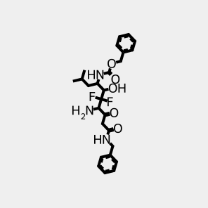 CC(C)CC(NC(=O)OCc1ccccc1)C(O)C(F)(F)C(N)C(=O)CC(=O)NCc1ccccc1